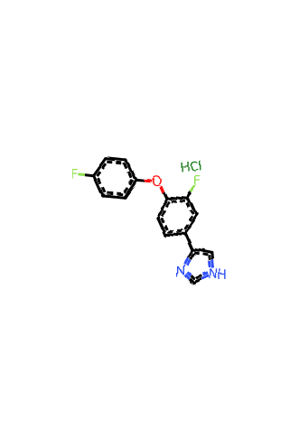 Cl.Fc1ccc(Oc2ccc(-c3c[nH]cn3)cc2F)cc1